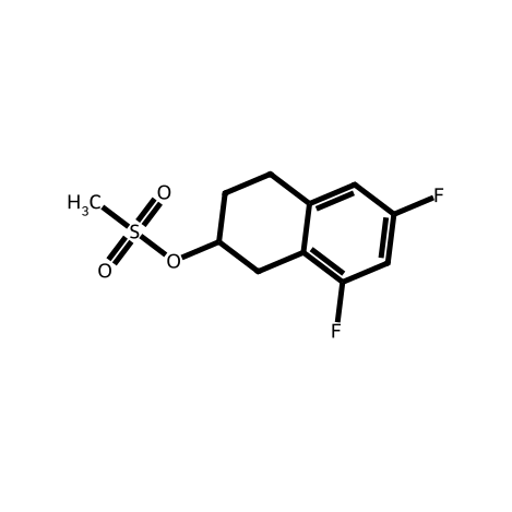 CS(=O)(=O)OC1CCc2cc(F)cc(F)c2C1